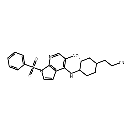 N#CCCC1CCC(Nc2c([N+](=O)[O-])cnc3c2ccn3S(=O)(=O)c2ccccc2)CC1